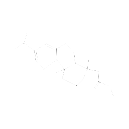 COC(=O)CC1(C)CCCC2(C)C3CC=C(C(C)C)C=C3CCC12